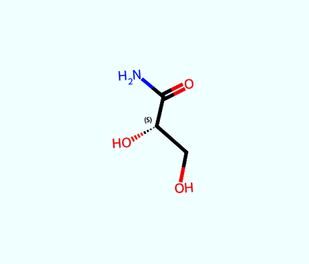 NC(=O)[C@@H](O)CO